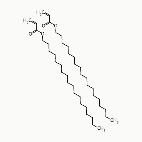 C=CC(=O)OCCCCCCCCCCCCCCCCCC.C=CC(=O)OCCCCCCCCCCCCCCCCCC